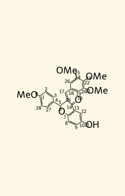 COc1ccc(C2Oc3ccc(O)cc3C(=O)C2=Cc2cc(OC)c(OC)c(OC)c2)cc1